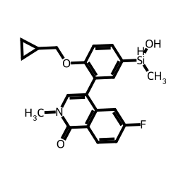 Cn1cc(-c2cc([SiH](C)O)ccc2OCC2CC2)c2cc(F)ccc2c1=O